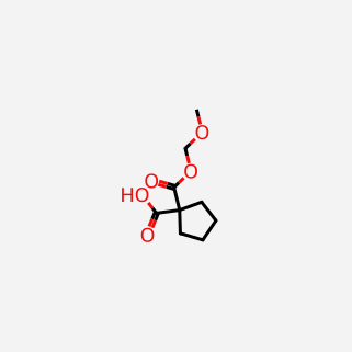 COCOC(=O)C1(C(=O)O)CCCC1